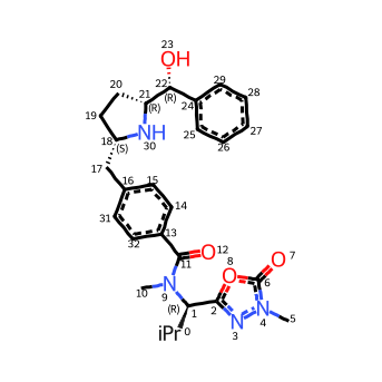 CC(C)[C@H](c1nn(C)c(=O)o1)N(C)C(=O)c1ccc(C[C@@H]2CC[C@H]([C@H](O)c3ccccc3)N2)cc1